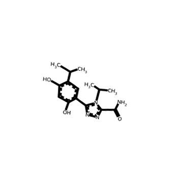 CC(C)c1cc(-c2nnc(C(N)=O)n2C(C)C)c(O)cc1O